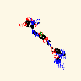 CCNC(=O)c1nnc(-c2cc(C(C)C)c(O)cc2O)n1-c1ccc(CN2CCN(C(=O)Cc3ccc(OC(=O)N4CCN(CCCOc5ccc6c(c5OC)N=C(NC(=O)c5cnc(N)nc5)N5CCCN=C65)CC4)cc3F)CC2)cc1